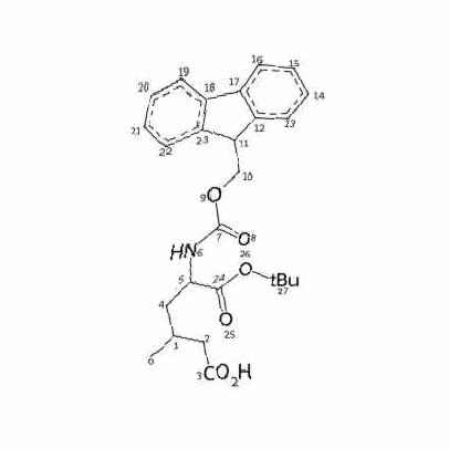 CC(CC(=O)O)CC(NC(=O)OCC1c2ccccc2-c2ccccc21)C(=O)OC(C)(C)C